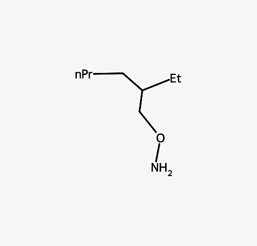 CCCCC(CC)CON